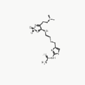 CN(C)CCC1=NS(=O)(=O)N=C1NCCSCc1csc(NC(=N)N)n1